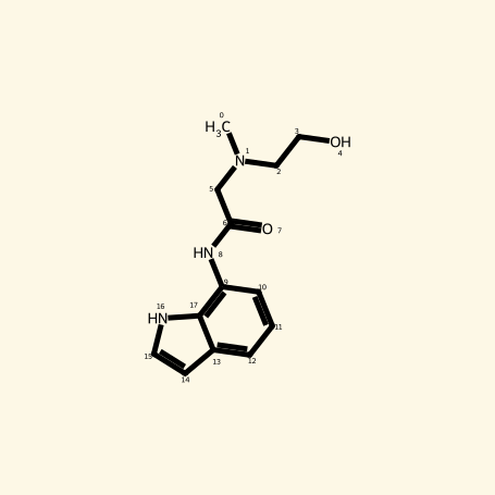 CN(CCO)CC(=O)Nc1cccc2cc[nH]c12